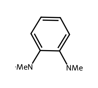 C[N]c1ccccc1NC